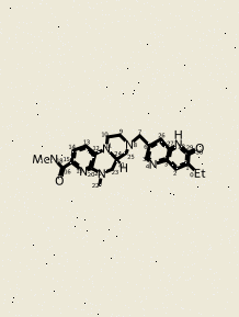 CCc1cc2ncc(CN3CCN4c5ccc(C(=O)NC)nc5N(C)C[C@H]4C3)cc2[nH]c1=O